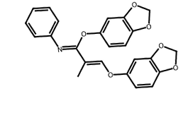 CC(=C\Oc1ccc2c(c1)OCO2)/C(=N/c1ccccc1)Oc1ccc2c(c1)OCO2